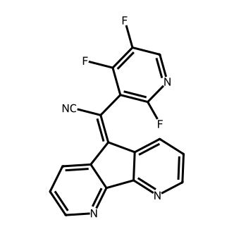 N#CC(=C1c2cccnc2-c2ncccc21)c1c(F)ncc(F)c1F